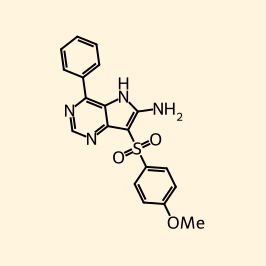 COc1ccc(S(=O)(=O)c2c(N)[nH]c3c(-c4ccccc4)ncnc23)cc1